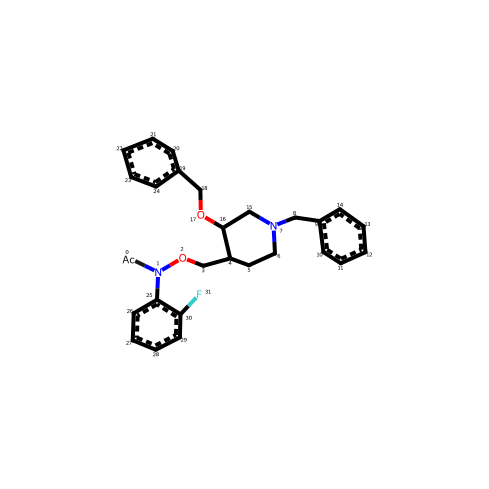 CC(=O)N(OCC1CCN(Cc2ccccc2)CC1OCc1ccccc1)c1ccccc1F